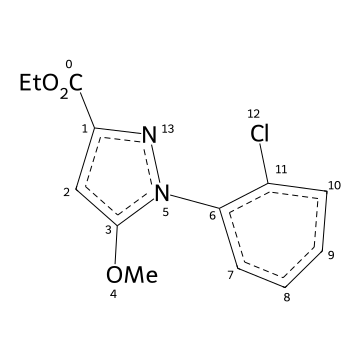 CCOC(=O)c1cc(OC)n(-c2ccccc2Cl)n1